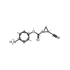 N#CC1CN1C(=O)Oc1ccc(N)cc1